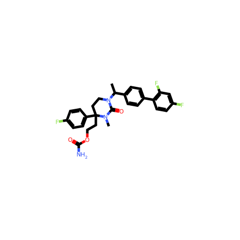 CC(c1ccc(-c2ccc(F)cc2F)cc1)N1CCC(CCOC(N)=O)(c2ccc(F)cc2)N(C)C1=O